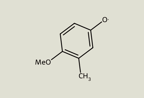 COc1ccc([O])cc1C